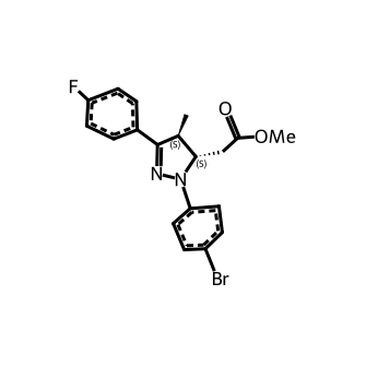 COC(=O)C[C@H]1[C@H](C)C(c2ccc(F)cc2)=NN1c1ccc(Br)cc1